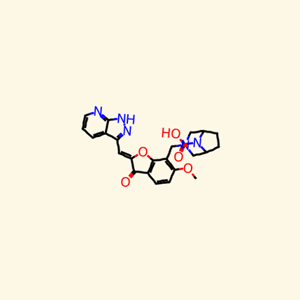 COc1ccc2c(c1CN1CC3CCC(C1)N3C(=O)O)OC(=Cc1n[nH]c3ncccc13)C2=O